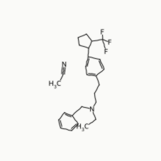 CC#N.CCN(CCCc1ccc(C2CCCC2C(F)(F)F)cc1)Cc1ccccc1